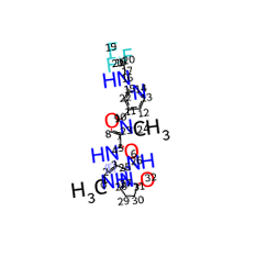 CN/C=C(/NC(=O)C1=COC(c2ccnc(NCC(F)(F)F)c2)N1C)C(=N)N1CCCC1=O